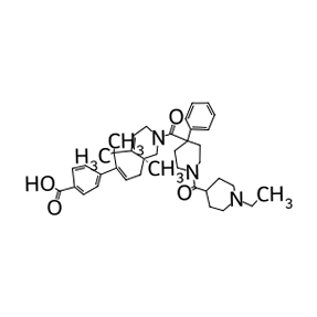 CCN1CCC(C(=O)N2CCC(C(=O)N3CC=C4C(C)(C)C(c5ccc(C(=O)O)cc5)=CC[C@]4(C)C3)(c3ccccc3)CC2)CC1